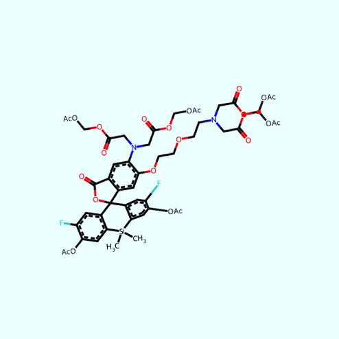 CC(=O)OCOC(=O)CN(CCOCCOc1cc2c(cc1N(CC(=O)OCOC(C)=O)CC(=O)OCOC(C)=O)C(=O)OC21c2cc(F)c(OC(C)=O)cc2[Si](C)(C)c2cc(OC(C)=O)c(F)cc21)CC(=O)OCOC(C)=O